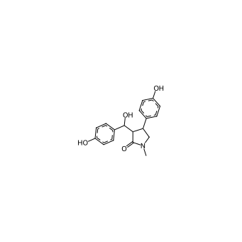 CN1CC(c2ccc(O)cc2)C(C(O)c2ccc(O)cc2)C1=O